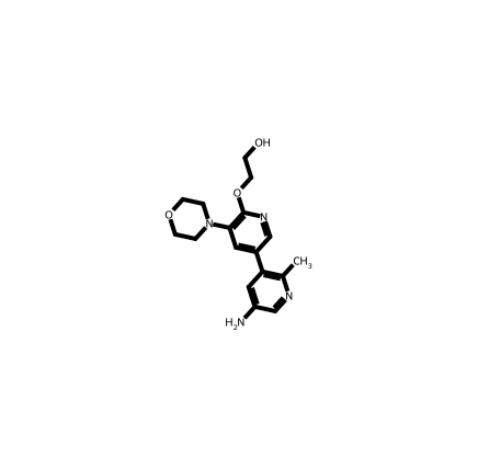 Cc1ncc(N)cc1-c1cnc(OCCO)c(N2CCOCC2)c1